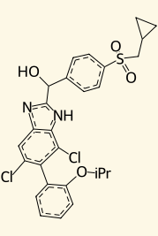 CC(C)Oc1ccccc1-c1c(Cl)cc2nc(C(O)c3ccc(S(=O)(=O)CC4CC4)cc3)[nH]c2c1Cl